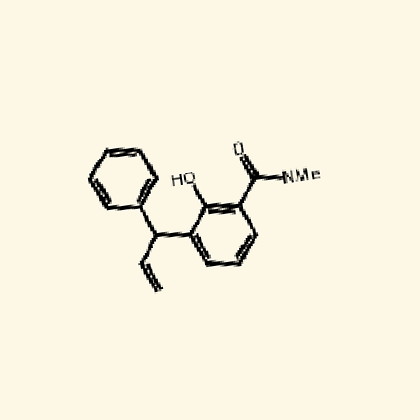 C=CC(c1ccccc1)c1cccc(C(=O)NC)c1O